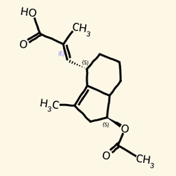 CC(=O)O[C@H]1CC(C)=C2C1CCC[C@H]2/C=C(\C)C(=O)O